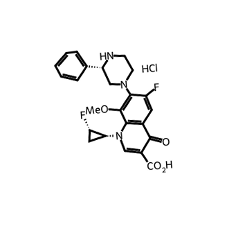 COc1c(N2CCN[C@@H](c3ccccc3)C2)c(F)cc2c(=O)c(C(=O)O)cn([C@@H]3C[C@@H]3F)c12.Cl